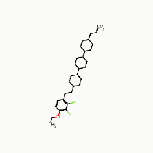 CCCC1CCC(C2CCC(C3CCC(CCc4ccc(OCC)c(F)c4F)CC3)CC2)CC1